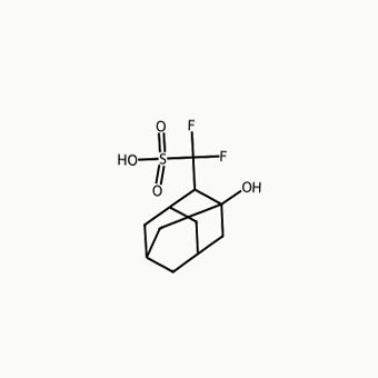 O=S(=O)(O)C(F)(F)C1C2CC3CC(C2)CC1(O)C3